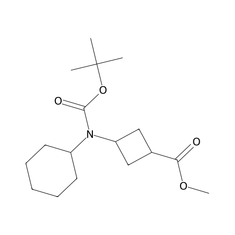 COC(=O)C1CC(N(C(=O)OC(C)(C)C)C2CCCCC2)C1